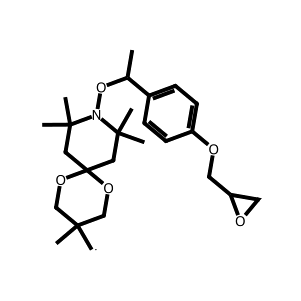 [CH2]C1(C)COC2(CC(C)(C)N(OC(C)c3ccc(OCC4CO4)cc3)C(C)(C)C2)OC1